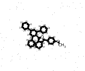 COc1ccc(-c2oc(-c3c(-c4ccccc4)cc(-c4ccccc4)cc3-c3ccccc3)c3ccccc23)cc1